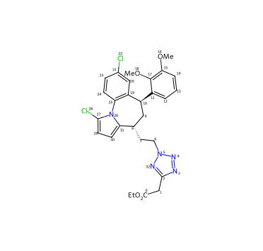 CCOC(=O)Cc1nnn(CC[C@H]2C[C@H](c3cccc(OC)c3OC)c3cc(Cl)ccc3-n3c(Cl)ccc32)n1